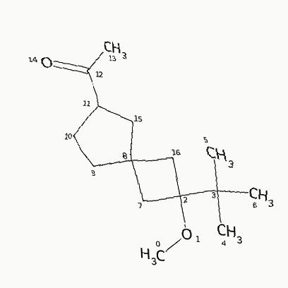 COC1(C(C)(C)C)CC2(CCC(C(C)=O)C2)C1